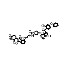 O=C1CCC(N2C(=O)c3cccc(NCCNC(=O)N4CCC(Nc5ncnc6[nH]cc(C(=O)c7ccc(Oc8ccccc8)cc7Cl)c56)CC4)c3C2=O)C(=O)N1